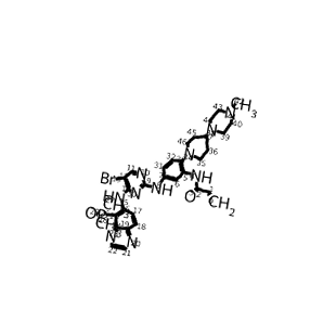 C=CC(=O)Nc1cc(Nc2ncc(Br)c(Nc3ccc4nccnc4c3P(C)(C)=O)n2)ccc1N1CCC(N2CCN(C)CC2)CC1